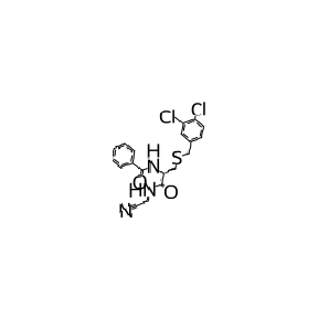 N#CCNC(=O)[C@H](CSCc1ccc(Cl)c(Cl)c1)NC(=O)c1ccccc1